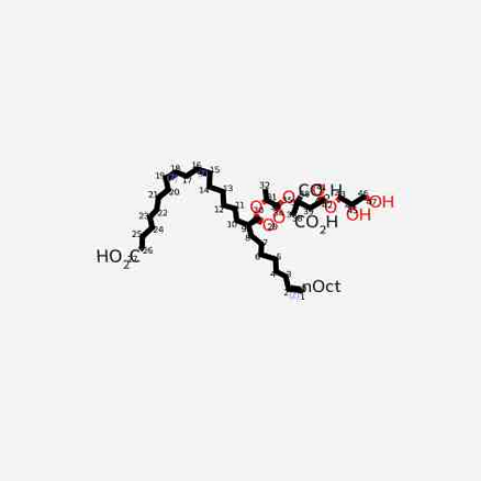 CCCCCCCC/C=C\CCCCCCC(CCCCC/C=C\C/C=C\CCCCCCCC(=O)O)C(=O)OC(C)C(=O)OC(CC(=O)O)(CC(=O)OCC(O)CO)C(=O)O